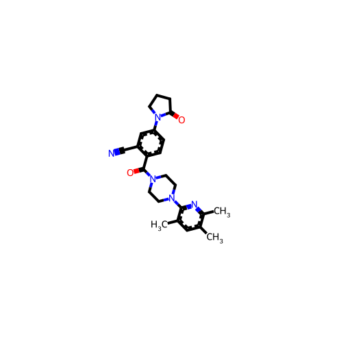 Cc1cc(C)c(N2CCN(C(=O)c3ccc(N4CCCC4=O)cc3C#N)CC2)nc1C